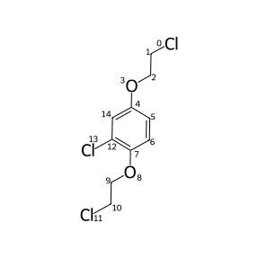 ClCCOc1ccc(OCCCl)c(Cl)c1